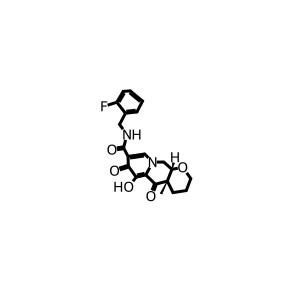 C[C@]12CCCO[C@H]1Cn1cc(C(=O)NCc3ccccc3F)c(=O)c(O)c1C2=O